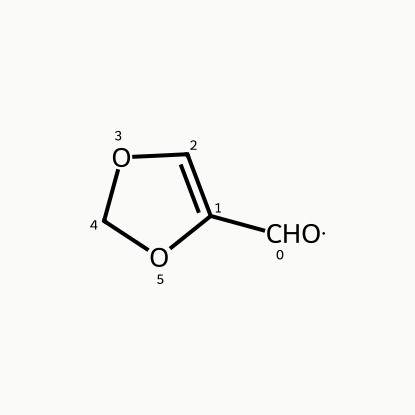 O=[C]C1=COCO1